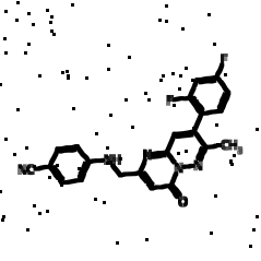 Cc1nn2c(=O)cc(CNc3ccc(C#N)cc3)nc2cc1-c1ccc(F)cc1F